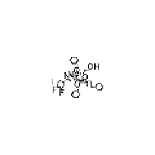 OCC=C1O[C@H](COCc2ccccc2)[C@H](OCc2ccccc2)[C@H](n2cc(-c3cc(F)c(F)c(F)c3)nn2)[C@H]1OCc1ccccc1